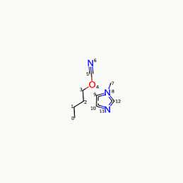 CCCCOC#N.Cn1ccnc1